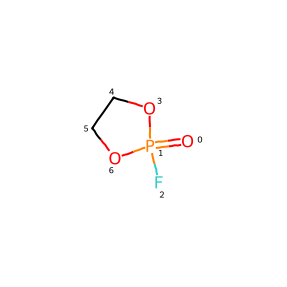 O=P1(F)OCCO1